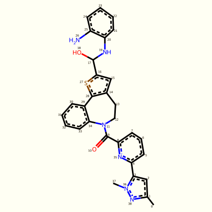 Cc1cc(-c2cccc(C(=O)N3CCc4cc(C(O)Nc5ccccc5N)sc4-c4ccccc43)n2)n(C)n1